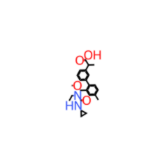 CCN(Cc1cc(C)ccc1-c1cc(C(C)C(=O)O)ccc1OC)C(=O)NC1CC1